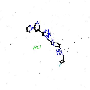 Cl.FC12CC(CNCc3ccc4nc(Cn5cc(-c6cncc(N7CC=CC7)c6)nn5)cn4c3)(C1)C2